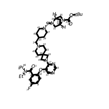 CCN(C(=O)c1cc(F)ccc1Oc1cncnc1N1CC2(CCN(CC3CCN(SN4C[C@@H]5C[C@H]4CN5C(=O)OC(C)(C)C)CC3)CC2)C1)C(C)C